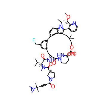 CCn1c(-c2cccnc2[C@H](C)OC)c2c3cc(ccc31)-c1cc(CF)cc(c1)C[C@H](NC(=O)[C@H](C(C)C)N(C)C(=O)[C@H]1CCN(C(=O)C#CC(C)(C)N(C)C)C1)C(=O)N1CCC[C@@](O)(N1)C(=O)OCC(C)(C)C2